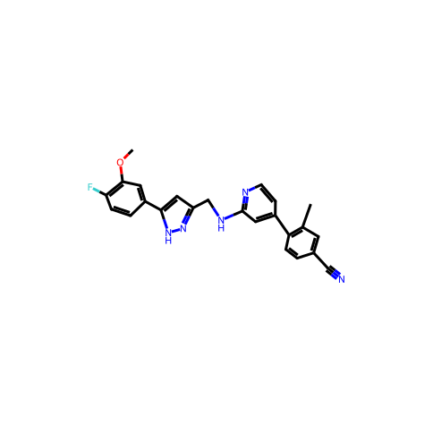 COc1cc(-c2cc(CNc3cc(-c4ccc(C#N)cc4C)ccn3)n[nH]2)ccc1F